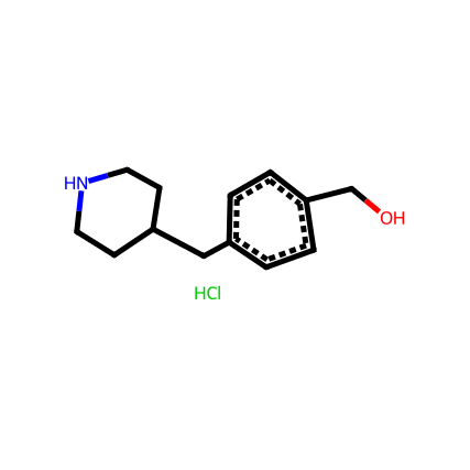 Cl.OCc1ccc(CC2CCNCC2)cc1